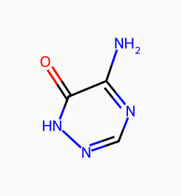 Nc1ncn[nH]c1=O